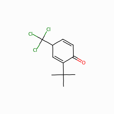 CC(C)(C)C1=CC(C(Cl)(Cl)Cl)C=CC1=O